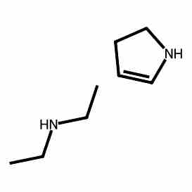 C1=CNCC1.CCNCC